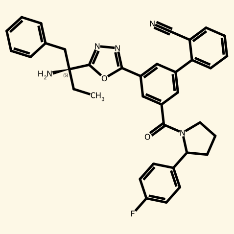 CC[C@](N)(Cc1ccccc1)c1nnc(-c2cc(C(=O)N3CCCC3c3ccc(F)cc3)cc(-c3ccccc3C#N)c2)o1